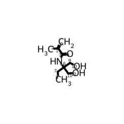 C=C(C)C(=O)NC(CC)(CO)CO